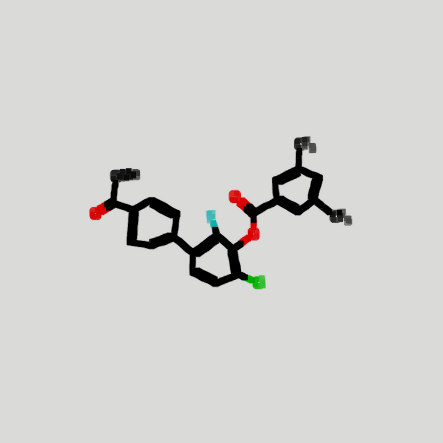 COC(=O)c1ccc(-c2ccc(Cl)c(OC(=O)c3cc(C(F)(F)F)cc(C(F)(F)F)c3)c2F)cc1